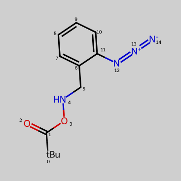 CC(C)(C)C(=O)ONCc1ccccc1N=[N+]=[N-]